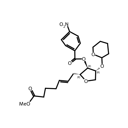 COC(=O)CCCC=CC[C@H]1OC[C@@H](OC2CCCCO2)[C@@H]1OC(=O)c1ccc([N+](=O)[O-])cc1